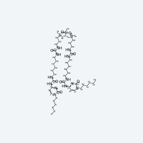 CCCCCCn1ccc(NC(=O)NCCCCCCNC(=O)NCCC[Si](C)(C)O[Si](C)(C)O[Si](C)(C)CCCNC(=O)NCCCCCCNC(=O)Nc2ccn(CCCCCC)c(=O)n2)nc1=O